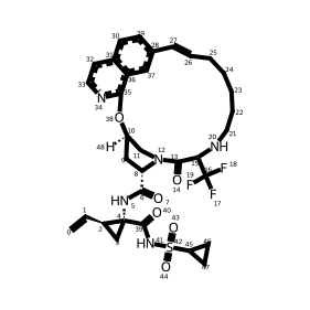 C=C[C@@H]1C[C@]1(NC(=O)[C@@H]1C[C@@H]2CN1C(=O)C(C(F)(F)F)NCCCCC/C=C/c1ccc3ccnc(c3c1)O2)C(=O)NS(=O)(=O)C1CC1